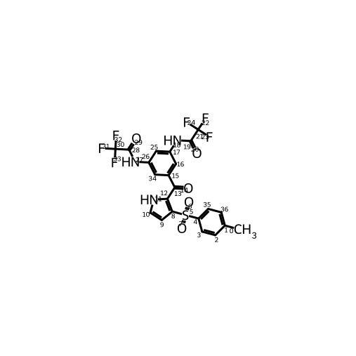 Cc1ccc(S(=O)(=O)c2cc[nH]c2C(=O)c2cc(NC(=O)C(F)(F)F)cc(NC(=O)C(F)(F)F)c2)cc1